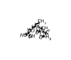 CCCCCCl.CN(C)C=O.CN(C)C=O.O=[PH](O)O